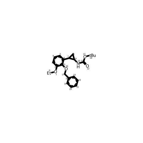 CCOc1cccc(C2CC2NC(=O)OC(C)(C)C)c1OCc1ccccc1